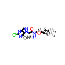 COc1nc(Cl)nc2cnn(CC(=O)NCOCC[Si](C)(C)C)c12